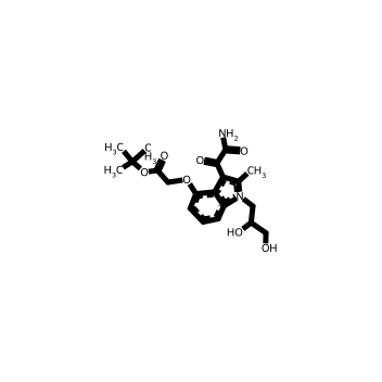 Cc1c(C(=O)C(N)=O)c2c(OCC(=O)OC(C)(C)C)cccc2n1CC(O)CO